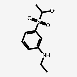 CCNc1cccc(S(=O)(=O)C(C)[O])c1